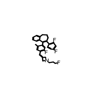 Cc1cc(C=C2CN(CCCF)C2)c(F)cc1C1=C(c2ccc(F)cc2F)CCCc2ccccc21